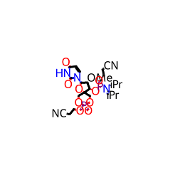 COC1C(n2ccc(=O)[nH]c2=O)OC2(COP(=O)(OCCC#N)OC2)[C@@H]1OP(OCCC#N)N(C(C)C)C(C)C